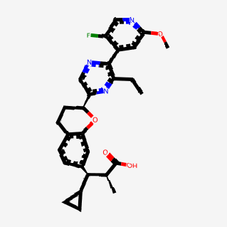 CCc1nc([C@@H]2CCc3ccc([C@H](C4CC4)[C@H](C)C(=O)O)cc3O2)cnc1-c1cc(OC)ncc1F